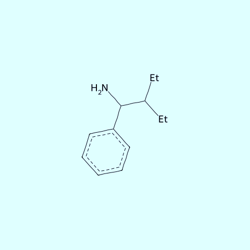 CCC(CC)C(N)c1ccccc1